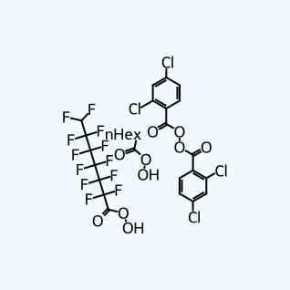 CCCCCCC(=O)OO.O=C(OO)C(F)(F)C(F)(F)C(F)(F)C(F)(F)C(F)(F)C(F)F.O=C(OOC(=O)c1ccc(Cl)cc1Cl)c1ccc(Cl)cc1Cl